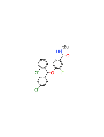 CC(C)(C)NC(=O)c1ccc(OC(c2ccc(Cl)cc2)c2ccccc2Cl)c(F)c1